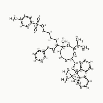 Cc1ccc(S(=O)(=O)OCCCCC(OCc2ccccc2)C2(O)CCCC(CO[Si](c3ccccc3)(c3ccccc3)C(C)(C)C)OC(C(C)C)O2)cc1